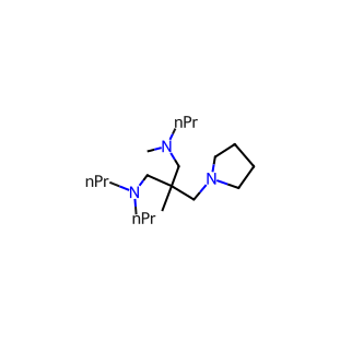 CCCN(C)CC(C)(CN(CCC)CCC)CN1CCCC1